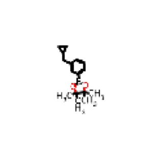 CC1(C)OB(c2cccc(CC3CC3)c2)OC1(C)C